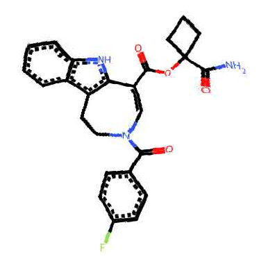 NC(=O)C1(OC(=O)C2=CN(C(=O)c3ccc(F)cc3)CCc3c2[nH]c2ccccc32)CCC1